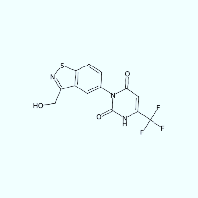 O=c1cc(C(F)(F)F)[nH]c(=O)n1-c1ccc2snc(CO)c2c1